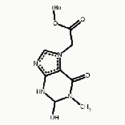 CN1C(=O)c2c(ncn2CC(=O)OC(C)(C)C)NC1O